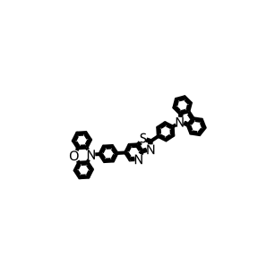 c1ccc2c(c1)Oc1ccccc1N2c1ccc(-c2cnc3nc(-c4ccc(-n5c6ccccc6c6ccccc65)cc4)sc3c2)cc1